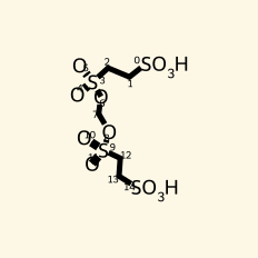 O=S(=O)(O)CCS(=O)(=O)OCOS(=O)(=O)CCS(=O)(=O)O